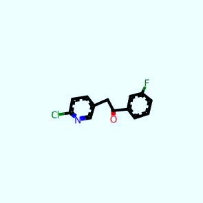 O=C(Cc1ccc(Cl)nc1)c1cccc(F)c1